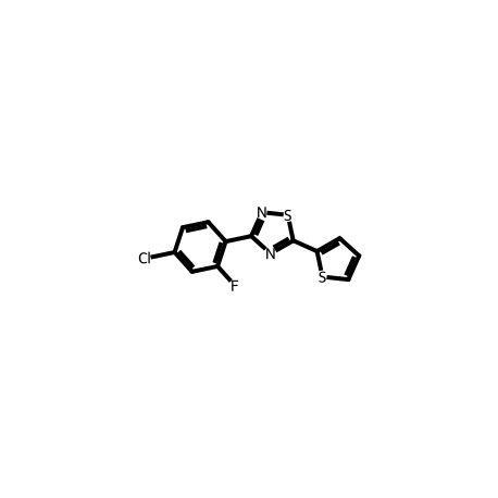 Fc1cc(Cl)ccc1-c1nsc(-c2cccs2)n1